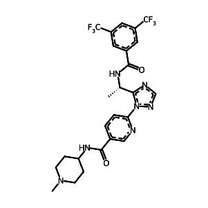 C[C@H](NC(=O)c1cc(C(F)(F)F)cc(C(F)(F)F)c1)c1ncnn1-c1ccc(C(=O)NC2CCN(C)CC2)cn1